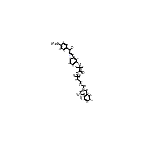 CSc1ccc(C(=O)/C=C/c2cccc(OC(C)(C)C(=O)OC(C)(C)CCOCN(Cc3ccccc3)C[Si](C)(C)C)c2)cc1